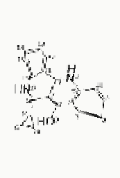 OC[C@@H]1[C@@H](Nc2ccccc2)c2ccccc2N[C@H]1C1CC1